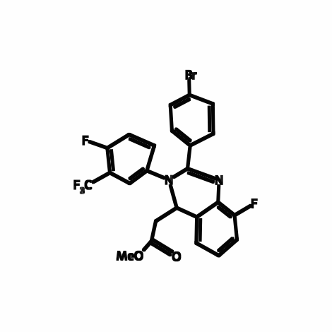 COC(=O)CC1c2cccc(F)c2N=C(c2ccc(Br)cc2)N1c1ccc(F)c(C(F)(F)F)c1